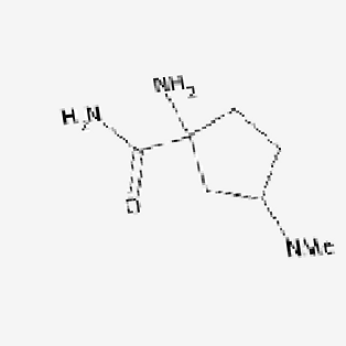 CNC1CCC(N)(C(N)=O)C1